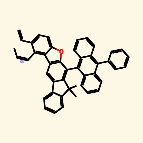 C=Cc1ccc2oc3c(-c4c5ccccc5c(-c5ccccc5)c5ccccc45)c4c(cc3c2c1/C=C\C)-c1ccccc1C4(C)C